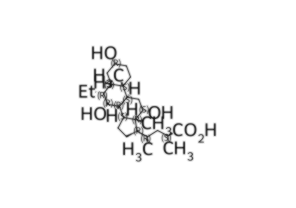 CC[C@H]1[C@@H](O)[C@@H]2[C@H](C[C@H](O)[C@]3(C)[C@@H]([C@H](C)C[C@H](C)C(=O)O)CC[C@@H]23)[C@@]2(C)CC[C@@H](O)C[C@@H]12